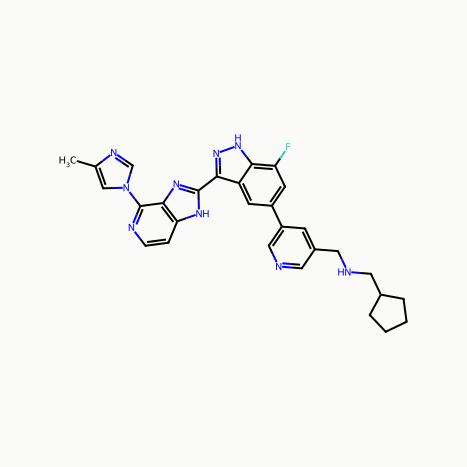 Cc1cn(-c2nccc3[nH]c(-c4n[nH]c5c(F)cc(-c6cncc(CNCC7CCCC7)c6)cc45)nc23)cn1